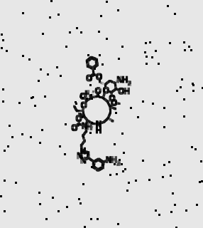 CC[C@H]1OC(=O)[C@@](C)(F)C(=O)[C@@H](C)[C@H](OC2O[C@H](COC(=O)c3ccccc3)C[C@H](N)[C@H]2O)[C@](C)(OC)C[C@@H](C)CN[C@H](C)[C@H]2N(CCCCn3cc(-c4cccc(N)c4)nn3)C(=O)O[C@]12C